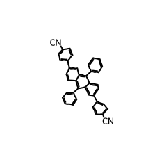 [C-]#[N+]c1ccc(-c2ccc3c(-c4ccccc4)c4cc(-c5ccc(C#N)cc5)ccc4c(-c4ccccc4)c3c2)cc1